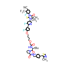 Cc1ncsc1-c1ccc(CNC(=O)C2CCCN2C(=O)C(NC(=O)COCCCCOc2ccc(-c3ncc(N4C(=S)N(c5ccc(C#N)c(C(F)(F)F)c5F)C(=O)C4(C)C)cc3F)cc2F)C(C)(C)C)cc1